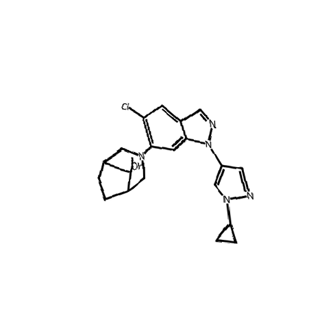 CC1(O)C2CCC1CN(c1cc3c(cnn3-c3cnn(C4CC4)c3)cc1Cl)C2